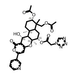 CC(=O)OCC1(C)C2C[C@H](OC(=O)Cn3cnnn3)[C@@]3(C)Oc4cc(-c5cccnc5)oc(=O)c4[C@H](O)C3[C@@]2(C)CC[C@@H]1OC(C)=O